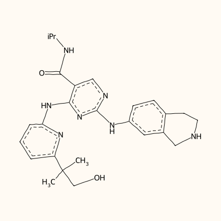 CC(C)NC(=O)c1cnc(Nc2ccc3c(c2)CNCC3)nc1Nc1cccc(C(C)(C)CO)n1